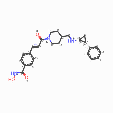 O=C(NO)c1ccc(/C=C/C(=O)N2CCC(CN[C@@H]3C[C@@H]3c3ccccc3)CC2)cc1